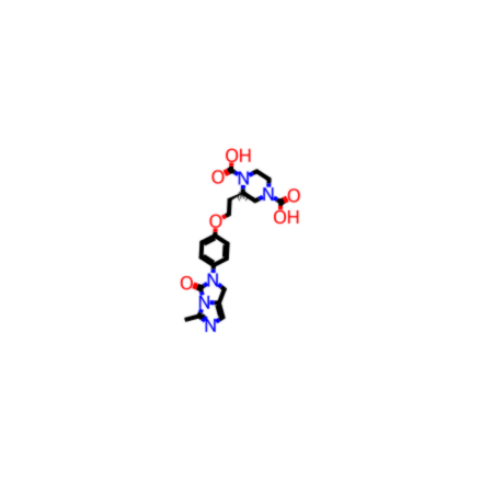 Cc1ncc2n1C(=O)N(c1ccc(OCC[C@@H]3CN(C(=O)O)CCN3C(=O)O)cc1)C2